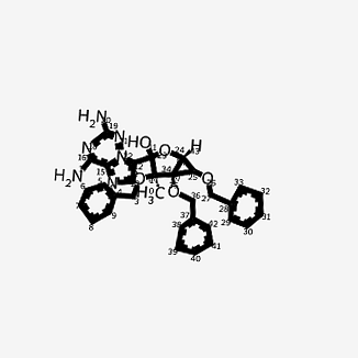 C[C@]1(OCc2ccccc2)C(O)(c2cnc3c(N)nc(N)nn23)O[C@@H]2C(OCc3ccccc3)[C@@]21OCc1ccccc1